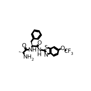 C[C@@H](N)C(=O)N[C@@H](Cc1ccccc1)C(=O)Nc1nc2ccc(OC(F)(F)F)cc2s1